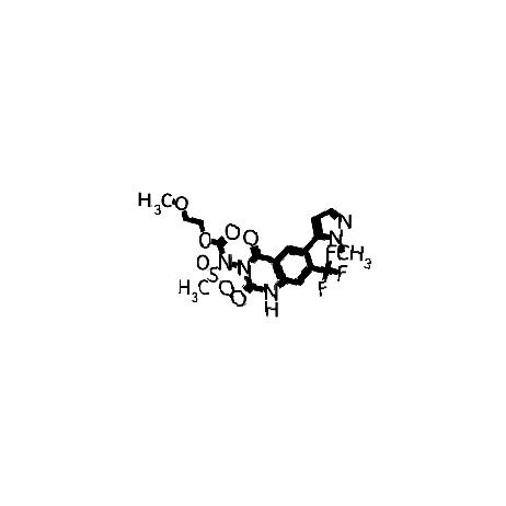 COCCOC(=O)N(n1c(=O)[nH]c2cc(C(F)(F)F)c(-c3ccnn3C)cc2c1=O)S(C)(=O)=O